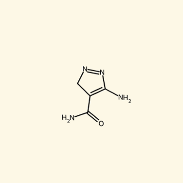 NC(=O)C1=C(N)N=NC1